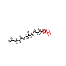 CC(C)=CCC/C(C)=C/CC/C(C)=C/CCCCCCO